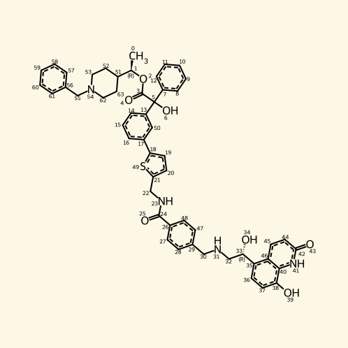 C[C@@H](OC(=O)C(O)(c1ccccc1)c1cccc(-c2ccc(CNC(=O)c3ccc(CNC[C@H](O)c4ccc(O)c5[nH]c(=O)ccc45)cc3)s2)c1)C1CCN(Cc2ccccc2)CC1